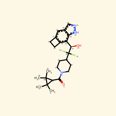 CC1(C)C(C(=O)N2CCC(C(F)(F)[C@H](O)c3c4c(cc5cn[nH]c35)CC4)CC2)C1(C)C